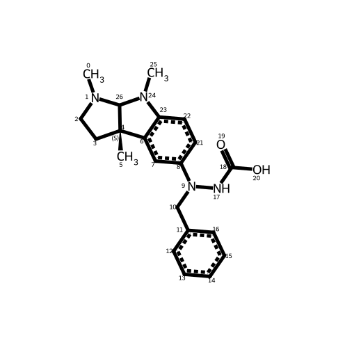 CN1CC[C@@]2(C)c3cc(N(Cc4ccccc4)NC(=O)O)ccc3N(C)C12